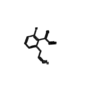 C=CCc1cccc(F)c1C(=O)OC